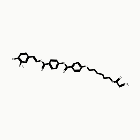 C=CC(=O)OCCCCCCOc1ccc(C(=O)Oc2ccc(C(=O)O/C=C/c3ccc(O)c(C)c3)cc2)cc1